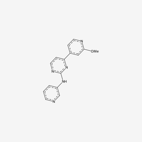 COc1cc(-c2ccnc(Nc3cccnc3)n2)ccn1